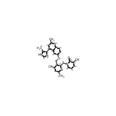 Cc1cc(Cl)c(COc2ccc3nc(C)cc(-c4nc[nH]c4C)c3c2)c(Cn2cccc(C#N)c2=O)n1